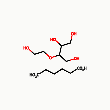 O=C(O)CCCCC(=O)O.OCCOC(CO)C(O)CO